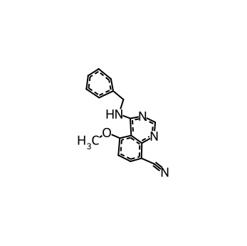 COc1ccc(C#N)c2ncnc(NCc3ccccc3)c12